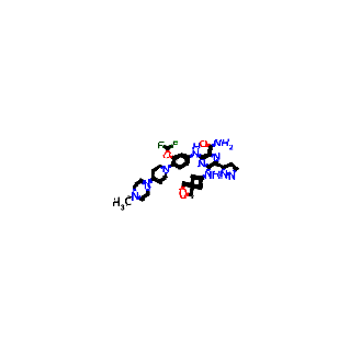 CN1CCN(C2CCN(c3ccc(Nc4nc(NC5CC6(COC6)C5)c(C5=CCN=N5)nc4C(N)=O)cc3OC(F)F)CC2)CC1